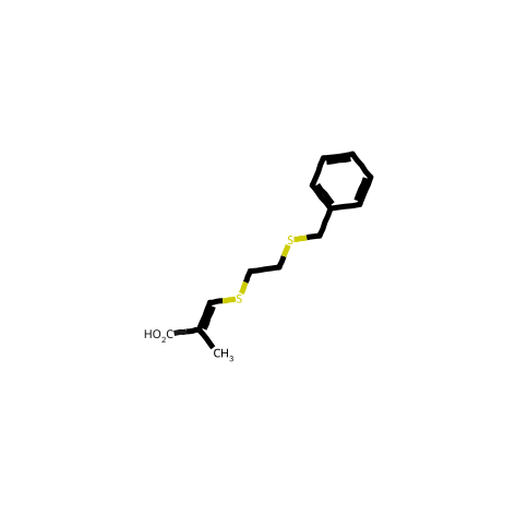 CC(=CSCCSCc1ccccc1)C(=O)O